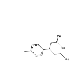 Cc1ccc(C(CCO)OP(O)O)cc1